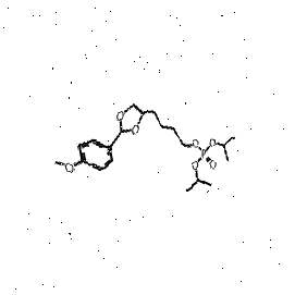 COc1ccc(C2OCC(CCCCOP(=O)(OC(C)C)OC(C)C)O2)cc1